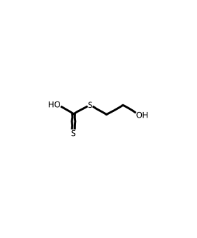 OCCSC(O)=S